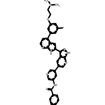 CN(C)CCOc1cc(F)cc(-c2ccnc3[nH]c(-c4n[nH]c5ncc(-c6cncc(NC(=O)c7ccccc7)c6)cc45)cc23)c1